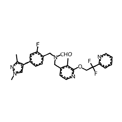 Cc1nn(C)cc1-c1ccc(CN(C=O)Cc2ccnc(OCC(F)(F)c3ccccn3)c2C)c(F)c1